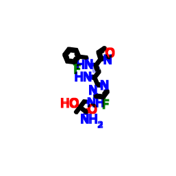 CC(O)(CNc1nc(C(=N)/C=C(\NCc2ccccc2F)c2ccon2)ncc1F)C(N)=O